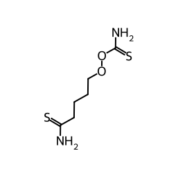 NC(=S)CCCCOOC(N)=S